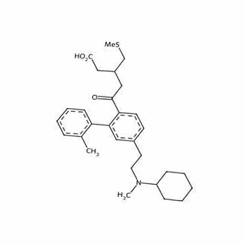 CSCC(CC(=O)O)CC(=O)c1ccc(CCN(C)C2CCCCC2)cc1-c1ccccc1C